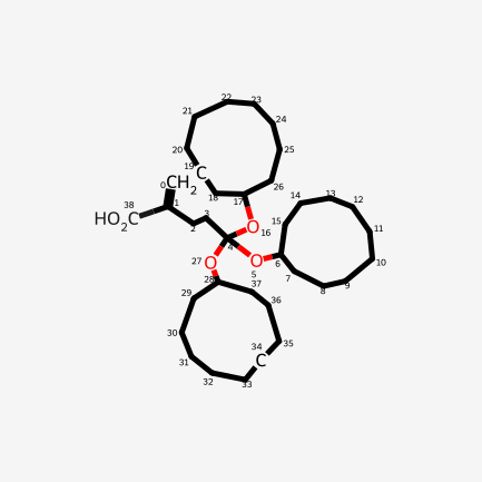 C=C(CCC(OC1CCCCCCCCC1)(OC1CCCCCCCCC1)OC1CCCCCCCCC1)C(=O)O